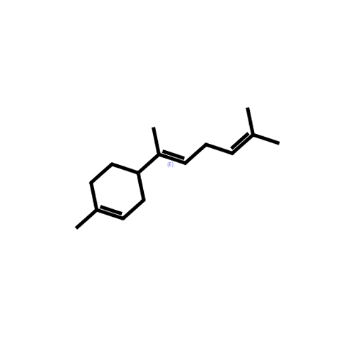 CC(C)=CC/C=C(\C)C1CC=C(C)CC1